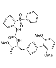 COC(=O)[C@H](Cc1ccc(-c2c(OC)cccc2OC)cc1)NC(=O)Nc1ccccc1S(=O)(=O)c1ccccc1